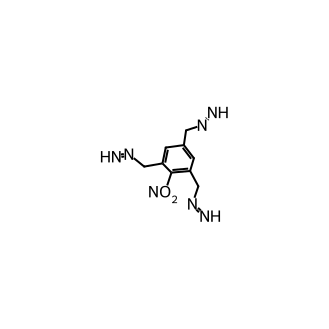 N=NCc1cc(CN=N)c([N+](=O)[O-])c(CN=N)c1